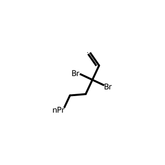 [CH]=CC(Br)(Br)CCCCC